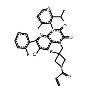 C=CC(=O)N1CC(F)(Cn2c(=O)c(=O)n(-c3c(C)ccnc3C(C)C)c3nc(-c4ccccc4F)c(Cl)cc32)C1